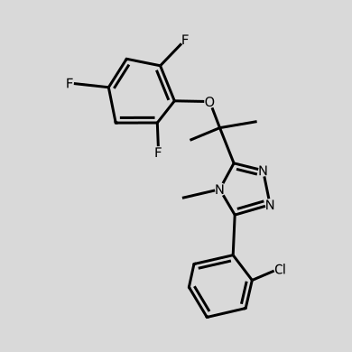 Cn1c(-c2ccccc2Cl)nnc1C(C)(C)Oc1c(F)cc(F)cc1F